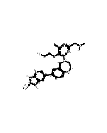 Cc1nc(CN(C)C)nc(N2CCOc3ccc(-c4cnc5sc(N)nc5c4)cc3C2)c1CCCF